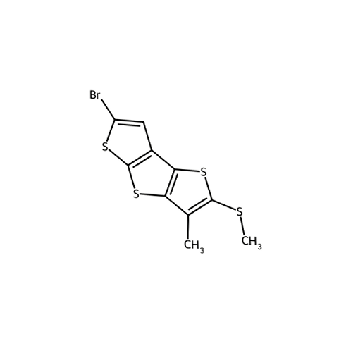 CSc1sc2c(sc3sc(Br)cc32)c1C